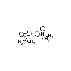 CC(C)n1c2ccccc2c2cc(-c3ccc4c5ccccc5n(C(C)C)c4c3)ccc21